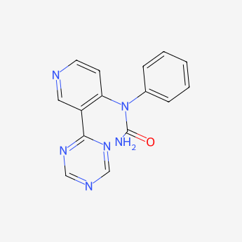 NC(=O)N(c1ccccc1)c1ccncc1-c1ncncn1